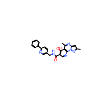 Cc1cc2nc(C)c3c(O)c(C(=O)NCc4ccc(-c5ccccc5)nc4)cnc3n2n1